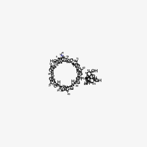 C/C=C/C[C@@H](C)[C@@H](O)[C@H]1C(=O)N[C@@H](CC)C(=O)N(C)CC(=O)N(C)[C@@H](CC(C)C)C(=O)N[C@@H](C(C)C)C(=O)N(C)[C@@H](CC(C)C)C(=O)N[C@@H](C)C(=O)N[C@H](C)C(=O)N(C)[C@@H](CC(C)C)C(=O)N(C)[C@@H](CC(C)C)C(=O)N(C)[C@@H](C(C)C)C(=O)N1C.CN1CC[C@]23c4c5ccc(O)c4O[C@H]2[C@@H](O)C=C[C@H]3[C@H]1C5